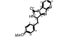 COc1ccc(CC2NC(=O)n3c2nc2ncncc23)cc1